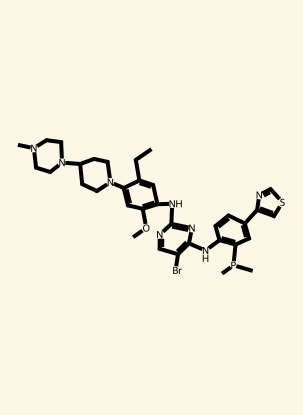 CCc1cc(Nc2ncc(Br)c(Nc3ccc(-c4cscn4)cc3P(C)C)n2)c(OC)cc1N1CCC(N2CCN(C)CC2)CC1